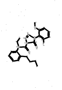 CCCCc1ccccc1N(CC)C(=O)n1nnn(-c2c(F)cccc2OC)c1=O